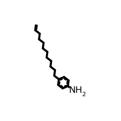 C=CCCCCCCCCCCc1ccc(N)cc1